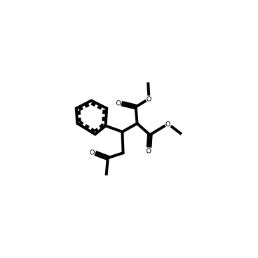 COC(=O)C(C(=O)OC)C(CC(C)=O)c1ccccc1